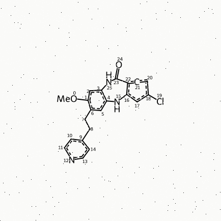 COc1cc2c(cc1CCc1ccncc1)Nc1cc(Cl)ccc1C(=O)N2